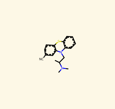 CC(CN1c2ccccc2Sc2ccc(C#N)cc21)N(C)C